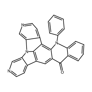 O=c1c2ccccc2n(-c2ccccc2)c2c1cc1c3ccncc3n3c4cnccc4c2c13